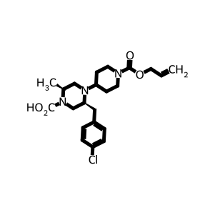 C=CCOC(=O)N1CCC(N2C[C@H](C)N(C(=O)O)C[C@@H]2Cc2ccc(Cl)cc2)CC1